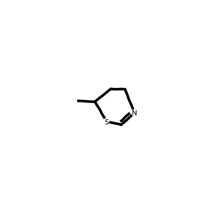 CC1CCN=CS1